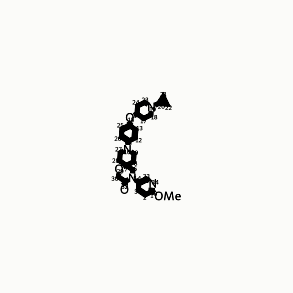 COc1ccc(N2CC3(CCN(c4ccc(OC5CCN(C6CC6)CC5)cc4)CC3)OCC2=O)cn1